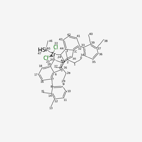 CCC(C)C1=Cc2c(-c3cccc(C)c3C)cccc2[CH]1[Zr]([Cl])([Cl])([CH]1C(C(C)CC)=Cc2c(-c3cccc(C)c3C)cccc21)[SiH](C)C